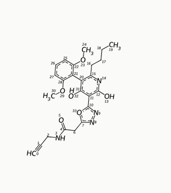 C#CCNC(=O)Cc1nnc(-c2c(O)nc(CCCC)c(-c3c(OC)cccc3OC)c2O)o1